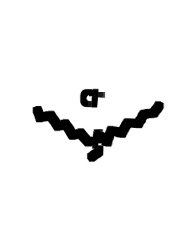 CCCCCCCC[P+](C)(CC)CCCCCCCC.[Cl-]